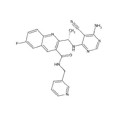 C[C@H](Nc1ncnc(N)c1C#N)c1nc2ccc(F)cc2cc1C(=O)NCc1cccnc1